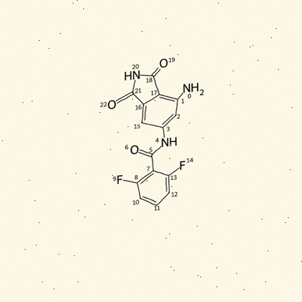 Nc1cc(NC(=O)c2c(F)cccc2F)cc2c1C(=O)NC2=O